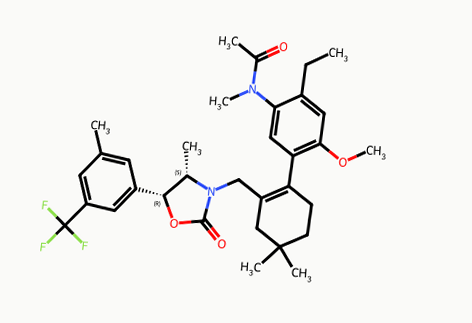 CCc1cc(OC)c(C2=C(CN3C(=O)O[C@H](c4cc(C)cc(C(F)(F)F)c4)[C@@H]3C)CC(C)(C)CC2)cc1N(C)C(C)=O